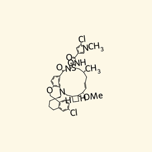 CO[C@H]1/C=C/C[C@H](C)C[S@@](=O)(NC(=O)c2cc(Cl)n(C)c2)=NC(=O)c2ccc3c(c2)N(C[C@@H]2CC[C@H]21)C[C@@]1(CCCc2cc(Cl)ccc21)CO3